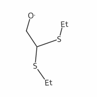 CCSC(C[O])SCC